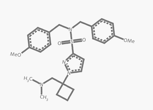 COc1ccc(CN(Cc2ccc(OC)cc2)S(=O)(=O)c2ccn(C3(CN(C)C)CCC3)n2)cc1